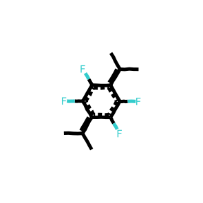 CC(C)=c1c(F)c(F)c(=C(C)C)c(F)c1F